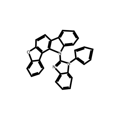 c1ccc(-n2c(-n3c4ccccc4c4ccc5oc6ccccc6c5c43)nc3ccccc32)cc1